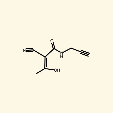 C#CCNC(=O)C(C#N)=C(C)O